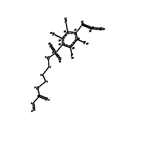 C=CC(=O)OCCCOS(=O)(=O)c1c(F)c(F)c(N=[N+]=[N-])c(F)c1F